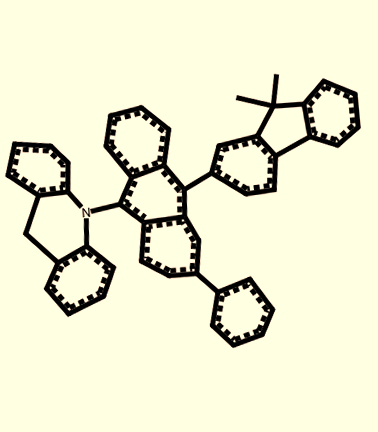 CC1(C)c2ccccc2-c2ccc(-c3c4ccccc4c(N4c5ccccc5Cc5ccccc54)c4ccc(-c5ccccc5)cc34)cc21